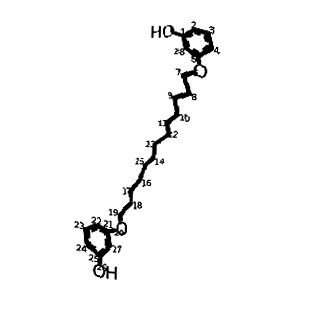 Oc1cccc(OCCCCCCCCCCCCCOc2cccc(O)c2)c1